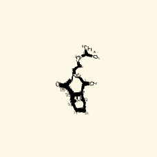 CC(=O)OCCN1C(=O)C2C3C=CC(O3)C2C1=O